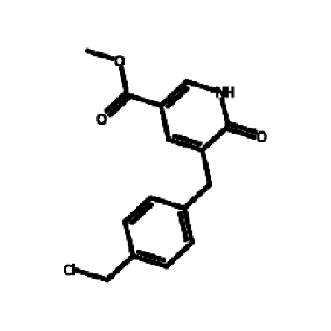 COC(=O)c1c[nH]c(=O)c(Cc2ccc(CCl)cc2)c1